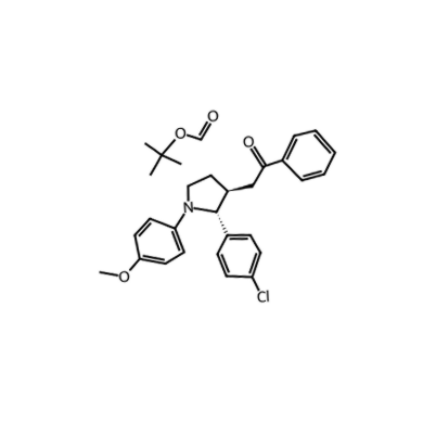 CC(C)(C)OC=O.COc1ccc(N2CC[C@@H](CC(=O)c3ccccc3)[C@@H]2c2ccc(Cl)cc2)cc1